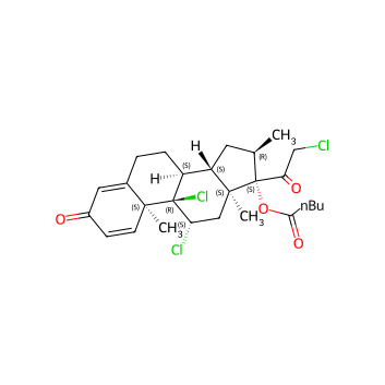 CCCCC(=O)O[C@@]1(C(=O)CCl)[C@H](C)C[C@H]2[C@@H]3CCC4=CC(=O)C=C[C@]4(C)[C@@]3(Cl)[C@@H](Cl)C[C@@]21C